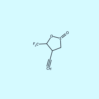 C#CC1CS(=O)OC1C(F)(F)F